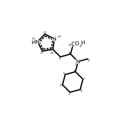 CN(C1CCCCC1)C(Cc1c[nH]cn1)C(=O)O